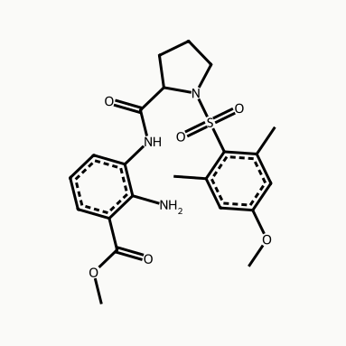 COC(=O)c1cccc(NC(=O)C2CCCN2S(=O)(=O)c2c(C)cc(OC)cc2C)c1N